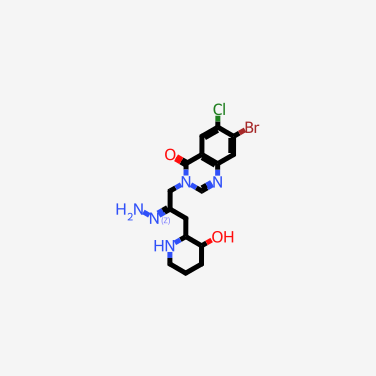 N/N=C(/CC1NCCCC1O)Cn1cnc2cc(Br)c(Cl)cc2c1=O